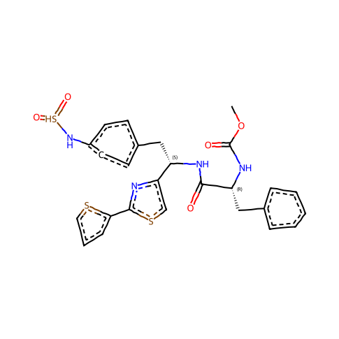 COC(=O)N[C@H](Cc1ccccc1)C(=O)N[C@@H](Cc1ccc(N[SH](=O)=O)cc1)c1csc(-c2cccs2)n1